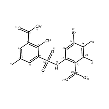 Cc1cc(C(=O)O)c(Cl)c(S(=O)(=O)Nc2cc(Br)c(C)c(C)c2[N+](=O)[O-])c1